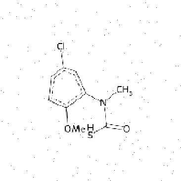 COc1ccc(Cl)cc1N(C)C(=O)S